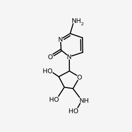 Nc1ccn(C2OC(NO)C(O)C2O)c(=O)n1